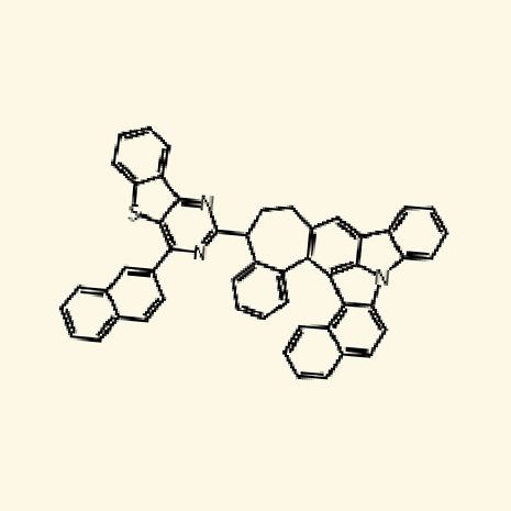 c1ccc2c(c1)-c1c(cc3c4ccccc4n4c5ccc6ccccc6c5c1c34)CCC2c1nc(-c2ccc3ccccc3c2)c2sc3ccccc3c2n1